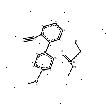 C#Cc1ccccc1-c1ccc(OC)cc1.CCC(=O)CC